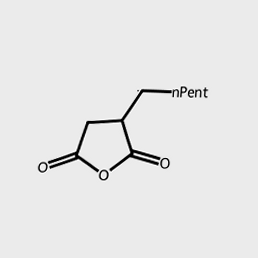 CCCCC[CH]C1CC(=O)OC1=O